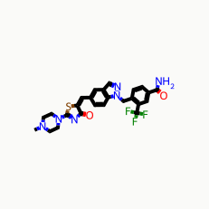 CN1CCN(C2=NC(=O)/C(=C\c3ccc4c(cnn4Cc4ccc(C(N)=O)cc4C(F)(F)F)c3)S2)CC1